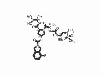 CCC[C@H](NC(=O)[C@@H]1C[C@@H](OC(=O)N2Cc3cccc(F)c3C2)CN1C(=O)[C@@H](NC(=O)N[C@H](CN(C)S(C)(=O)=O)C(C)(C)C)[C@@H](C)CC)B(O)O